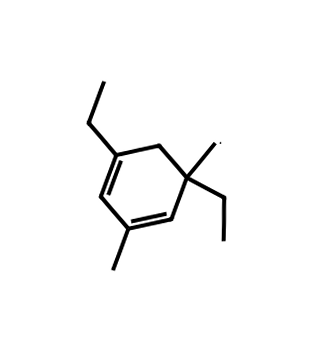 [CH2]C1(CC)C=C(C)C=C(CC)C1